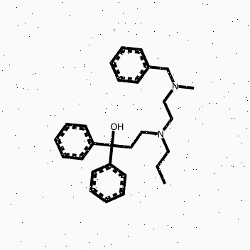 CCCN(CCN(C)Cc1ccccc1)CCC(O)(c1ccccc1)c1ccccc1